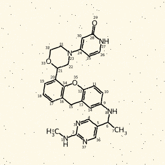 CNc1ncc(C(C)Nc2ccc3c(c2)Cc2cccc(C4CN(c5cc[nH]c(=O)c5)CCO4)c2O3)cn1